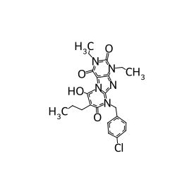 CCCc1c(O)n2c3c(=O)n(CC)c(=O)n(CC)c3nc2n(Cc2ccc(Cl)cc2)c1=O